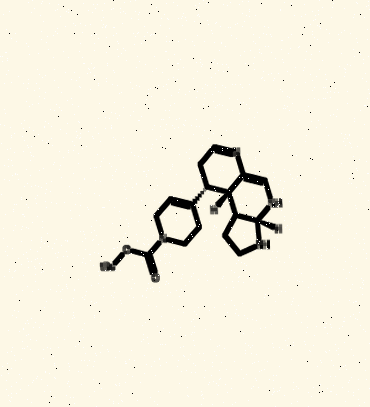 CC(C)(C)OC(=O)N1CC=C([C@@H]2CC=NC3=CN[C@@H]4NCCC4[C@@H]32)CC1